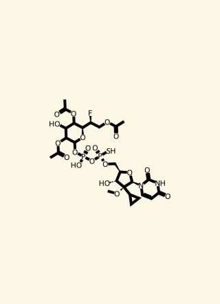 CO[C@]1(C2CC2)[C@H](O)[C@@H](COP(=O)(S)OP(=O)(O)OC2O[C@H]([C@@H](F)COC(C)=O)C(OC(C)=O)C(O)C2OC(C)=O)O[C@H]1n1ccc(=O)[nH]c1=O